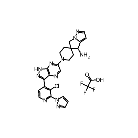 N[C@@H]1c2ccnn2CC12CCN(c1cnc3c(-c4ccnc(-n5cccn5)c4Cl)n[nH]c3n1)CC2.O=C(O)C(F)(F)F